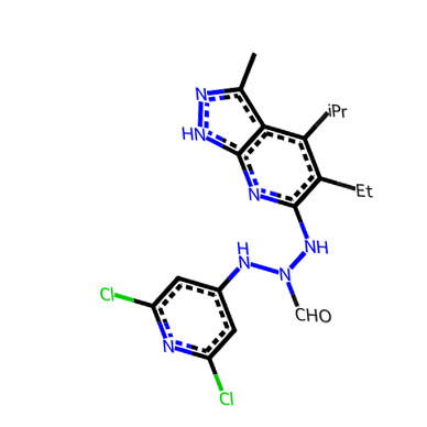 CCc1c(NN(C=O)Nc2cc(Cl)nc(Cl)c2)nc2[nH]nc(C)c2c1C(C)C